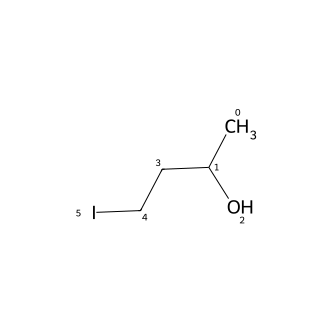 CC(O)CCI